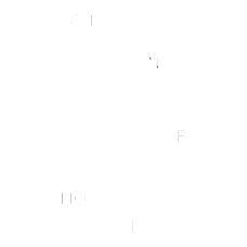 COc1cncc(-c2cc(O)c(I)cc2F)c1